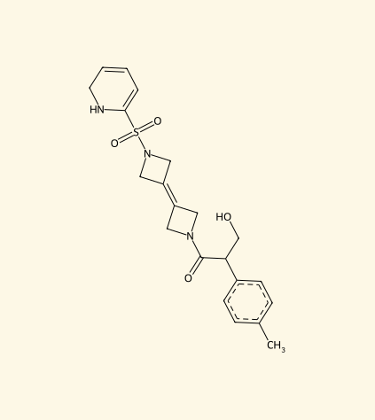 Cc1ccc(C(CO)C(=O)N2CC(=C3CN(S(=O)(=O)C4=CC=CCN4)C3)C2)cc1